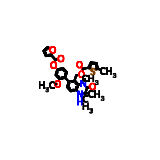 COc1cc(OC(=O)c2ccco2)ccc1-c1ccc2c(c1COC(=O)c1ccc(C)s1)N(C)C(=O)C(C)(C)N2